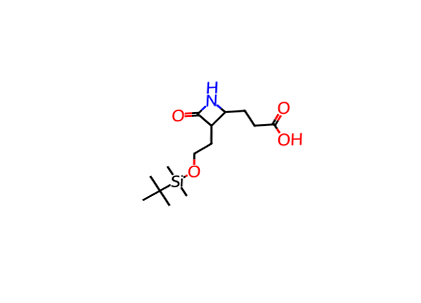 CC(C)(C)[Si](C)(C)OCCC1C(=O)NC1CCC(=O)O